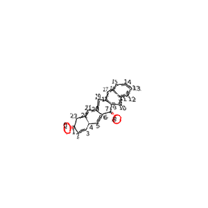 O=C1C=CC2C=C3C(=O)c4cc5ccccc5cc4C=C3C=C2C1